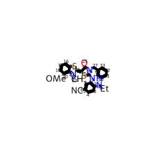 CCNc1ccc(C#N)cc1N=C1SC(=C2Sc3cccc(OC)c3N2C)C(=O)N1Cc1ccccc1